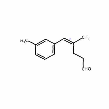 C/C(=C/c1cccc(C)c1)CCC=O